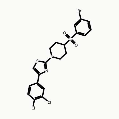 O=S(=O)(c1cccc(Br)c1)C1CCN(c2nc(-c3ccc(Cl)c(Cl)c3)cs2)CC1